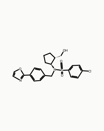 O=S(=O)(c1ccc(Cl)cc1)N(Cc1ccc(-c2ncco2)cc1)[C@H]1CCC[C@@H]1CO